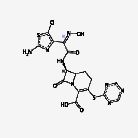 Nc1nc(/C(=N/O)C(=O)N[C@@H]2C(=O)N3C(C(=O)O)=C(Sc4ncncn4)CCC23)c(Cl)s1